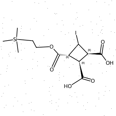 C[Si](C)(C)CCOC(=O)[C@@H]1C(I)[C@@H](C(=O)O)[C@H]1C(=O)O